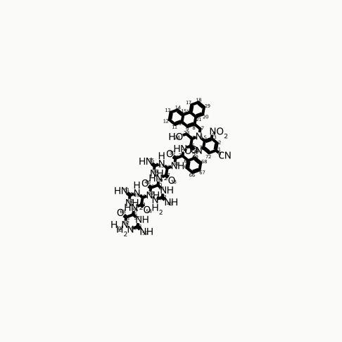 N#Cc1cc([N+](=O)[O-])c(N(Cc2cc3ccccc3c3ccccc23)C(CO)C(=O)NC(C(=O)NC(NC(=N)N)C(=O)NC(NC(=N)N)C(=O)NC(NC(=N)N)C(=O)NC(NC(=N)N)C(N)=O)c2ccccc2)c([N+](=O)[O-])c1